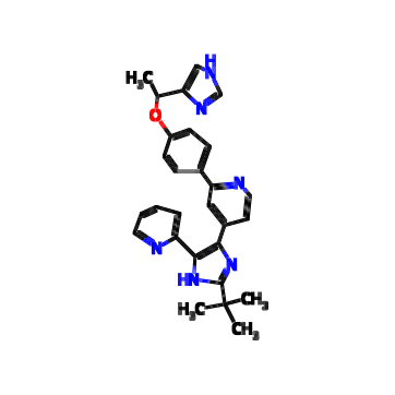 CC(Oc1ccc(-c2cc(-c3nc(C(C)(C)C)[nH]c3-c3ccccn3)ccn2)cc1)c1c[nH]cn1